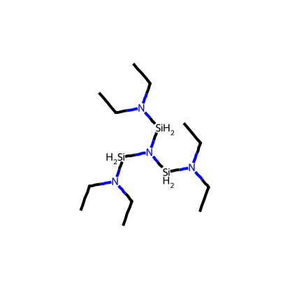 CCN(CC)[SiH2]N([SiH2]N(CC)CC)[SiH2]N(CC)CC